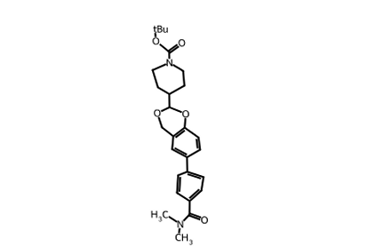 CN(C)C(=O)c1ccc(-c2ccc3c(c2)COC(C2CCN(C(=O)OC(C)(C)C)CC2)O3)cc1